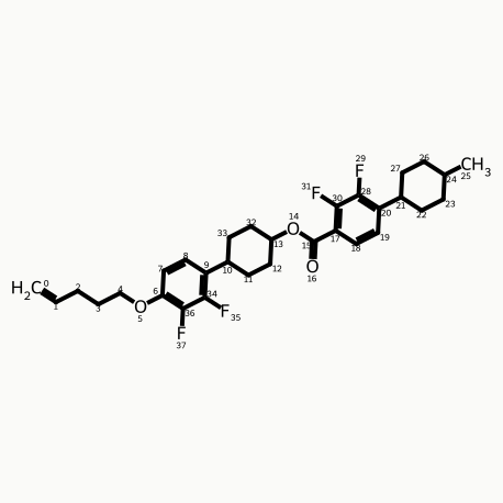 C=CCCCOc1ccc(C2CCC(OC(=O)c3ccc(C4CCC(C)CC4)c(F)c3F)CC2)c(F)c1F